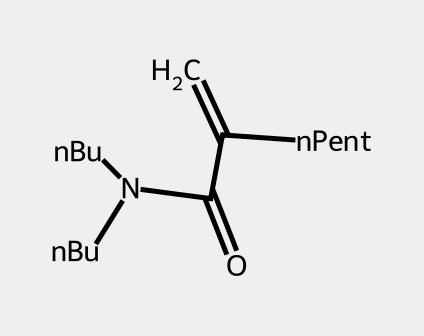 C=C(CCCCC)C(=O)N(CCCC)CCCC